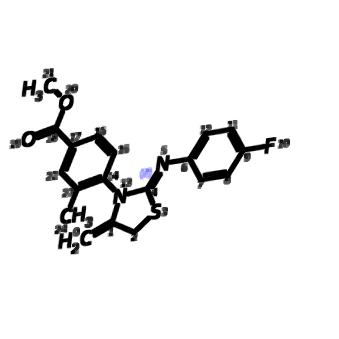 C=C1CS/C(=N\c2ccc(F)cc2)N1c1ccc(C(=O)OC)cc1C